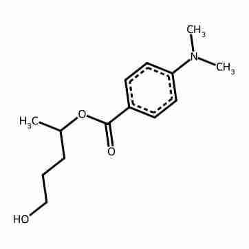 CC(CCCO)OC(=O)c1ccc(N(C)C)cc1